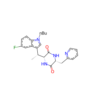 CCCCn1cc([C@@H](C)[C@H]2NC(=O)[C@@H](Cc3ccccn3)NC2=O)c2cc(F)ccc21